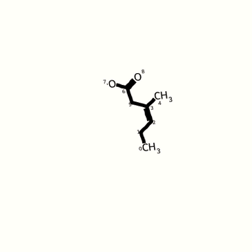 CCC=C(C)CC([O])=O